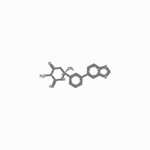 CN1C(=N)N[C@](C)(c2cccc(-c3ccc4scnc4c3)c2)CC1=O